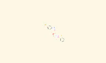 CN(C(=O)OC1(O)CCN(S(=O)(=O)c2ccccc2F)CC1)c1ccc(OC(F)(F)F)cc1